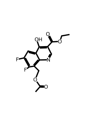 CCOC(=O)c1cnc2c(COC(C)=O)c(F)c(F)cc2c1O